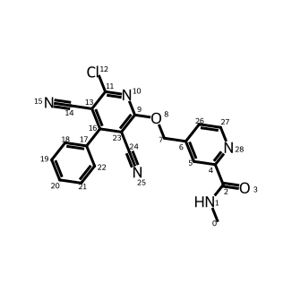 CNC(=O)c1cc(COc2nc(Cl)c(C#N)c(-c3ccccc3)c2C#N)ccn1